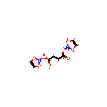 O=C(CCC(=O)ON1OC=CO1)ON1OC=CO1